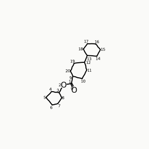 O=C(OC1CCCCC1)C1CCC(C2CCCCC2)CC1